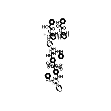 C[N+]1(C)[C@@H]2CC[C@H]1C[C@@H](OC(=O)C(O)c1ccccc1)C2.C[N+]1(C)[C@@H]2CC[C@H]1C[C@@H](OC(=O)C(O)c1ccccc1)C2.O=S(=O)([O-])c1cc(Nc2nc(Nc3ccccc3)nc(N3CCOCC3)n2)ccc1/C=C/c1ccc(Nc2nc(Nc3ccccc3)nc(N3CCOCC3)n2)cc1S(=O)(=O)[O-]